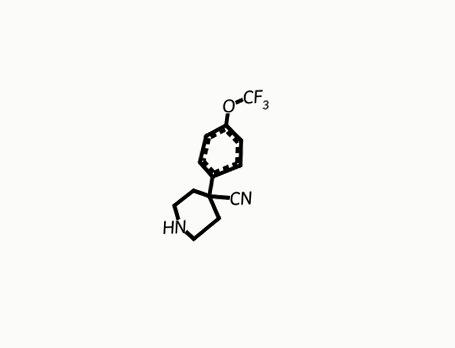 N#CC1(c2ccc(OC(F)(F)F)cc2)CCNCC1